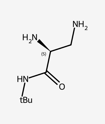 CC(C)(C)NC(=O)[C@@H](N)CN